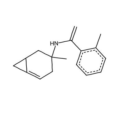 C=C(NC1(C)CC=C2CC2C1)c1ccccc1C